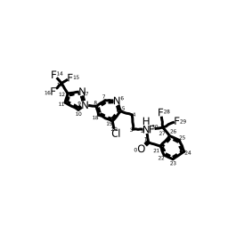 O=C(NCCc1ncc(-n2ccc(C(F)(F)F)n2)cc1Cl)c1ccccc1C(F)(F)F